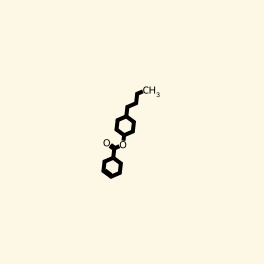 CCCCC1CCC(OC(=O)C2CC=CCC2)CC1